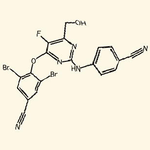 N#Cc1ccc(Nc2nc(CO)c(F)c(Oc3c(Br)cc(C#N)cc3Br)n2)cc1